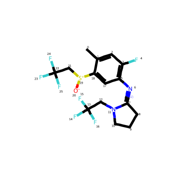 Cc1cc(F)c(/N=C2/CCCN2CC(F)(F)F)cc1[S+]([O-])CC(F)(F)F